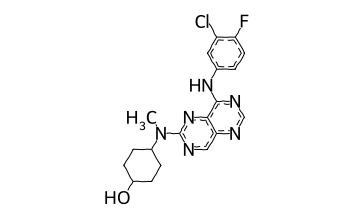 CN(c1ncc2ncnc(Nc3ccc(F)c(Cl)c3)c2n1)C1CCC(O)CC1